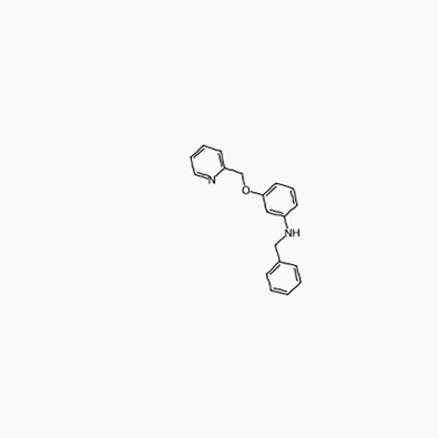 c1ccc(CNc2cccc(OCc3ccccn3)c2)cc1